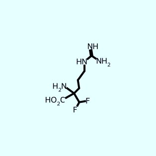 N=C(N)NCCCC(N)(C(=O)O)C(F)F